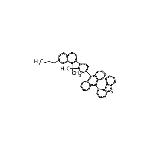 CCCCc1ccc2ccc3c(c2c1)C(C)(C)c1cc(-c2c4ccccc4c(-c4cccc5sc6ccccc6c45)c4ccccc24)ccc1-3